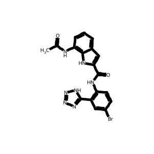 CC(=O)Nc1cccc2cc(C(=O)Nc3ccc(Br)cc3-c3nnn[nH]3)[nH]c12